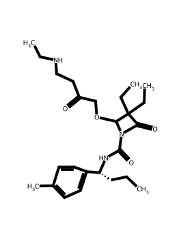 CCC[C@@H](NC(=O)N1C(=O)C(CC)(CC)C1OCC(=O)CCNCC)c1ccc(C)cc1